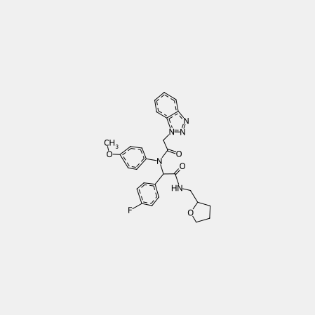 COc1ccc(N(C(=O)Cn2nnc3ccccc32)C(C(=O)NCC2CCCO2)c2ccc(F)cc2)cc1